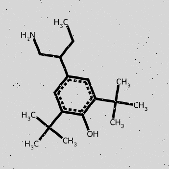 CCC(CN)c1cc(C(C)(C)C)c(O)c(C(C)(C)C)c1